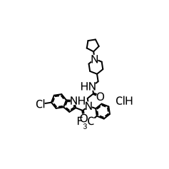 Cl.O=C(CN(C(=O)c1cc2cc(Cl)ccc2[nH]1)c1ccccc1C(F)(F)F)NCC1CCN(C2CCCC2)CC1